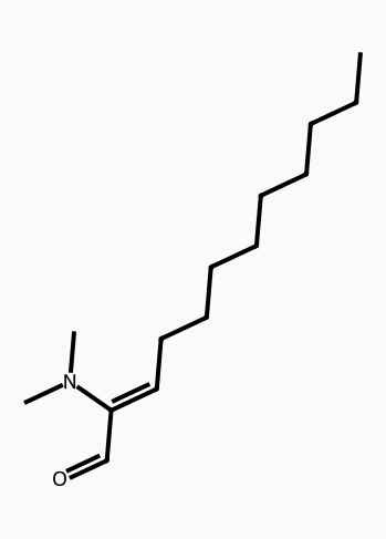 CCCCCCCCCC=C(C=O)N(C)C